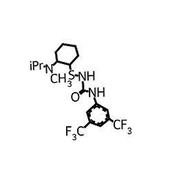 CC(C)N(C)C1CCCCC1SNC(=O)Nc1cc(C(F)(F)F)cc(C(F)(F)F)c1